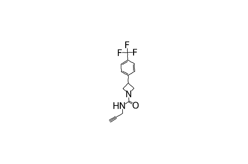 C#CCNC(=O)N1CC(c2ccc(C(F)(F)F)cc2)C1